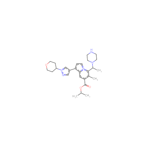 Cc1c(C(=O)OC(C)C)cc2c(-c3cnn(C4CCOCC4)c3)ccn2c1C(C)N1CCNCC1